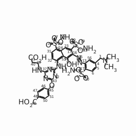 CN(C)Cc1ccc(S(=O)(=O)ON)c(N=Nc2c(S(=O)(=O)ON)cc3c(S(=O)(=O)ON)ccc(Nc4nc(NCCC(=O)O)nc(Oc5ccc(C(=O)O)cc5)n4)c3c2O)c1